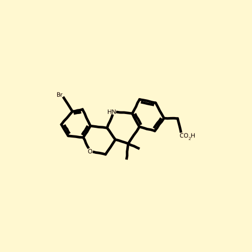 CC1(C)c2cc(CC(=O)O)ccc2NC2c3cc(Br)ccc3OCC21